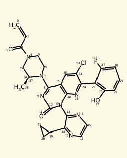 C=CC(=O)N1CCN(c2nc(=O)n(-c3nccnc3C3CC3)c3nc(-c4c(O)cccc4F)c(Cl)cc23)[C@@H](C)C1